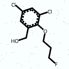 OCc1cc(Cl)cc(Cl)c1OCCCF